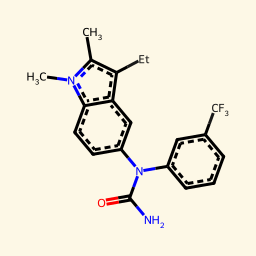 CCc1c(C)n(C)c2ccc(N(C(N)=O)c3cccc(C(F)(F)F)c3)cc12